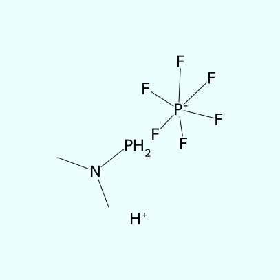 CN(C)P.F[P-](F)(F)(F)(F)F.[H+]